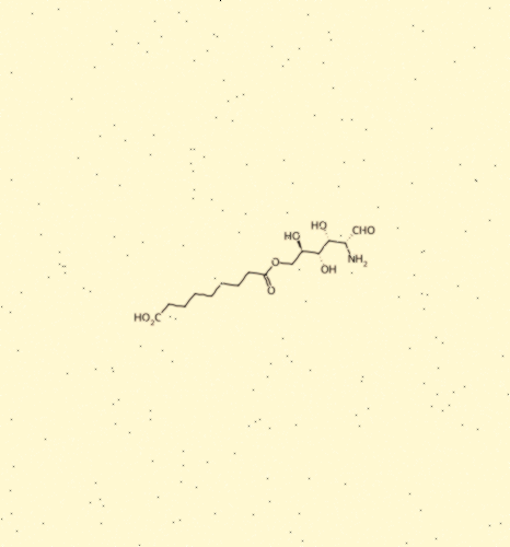 N[C@@H](C=O)[C@@H](O)[C@H](O)[C@H](O)COC(=O)CCCCCCCC(=O)O